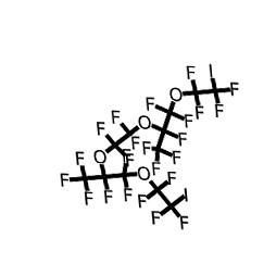 FC(F)(F)C(F)(OC(F)(F)C(F)(F)OC(F)(C(F)(F)F)C(F)(F)OC(F)(F)C(F)(F)I)C(F)(F)OC(F)(F)C(F)(F)I